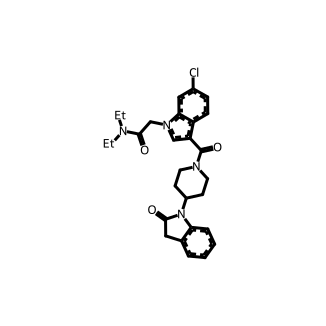 CCN(CC)C(=O)Cn1cc(C(=O)N2CCC(N3C(=O)Cc4ccccc43)CC2)c2ccc(Cl)cc21